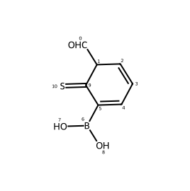 O=CC1C=CC=C(B(O)O)C1=S